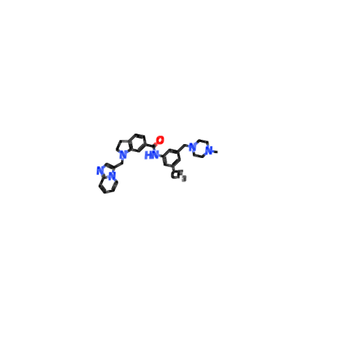 CN1CCN(Cc2cc(NC(=O)c3ccc4c(c3)N(Cc3cnc5ccccn35)CC4)cc(C(F)(F)F)c2)CC1